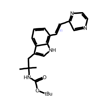 CC(C)(Cc1c[nH]c2c(/C=C/c3cnccn3)cccc12)NC(=O)OC(C)(C)C